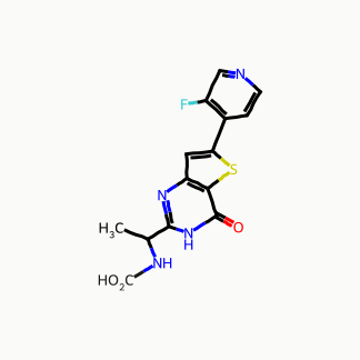 CC(NC(=O)O)c1nc2cc(-c3ccncc3F)sc2c(=O)[nH]1